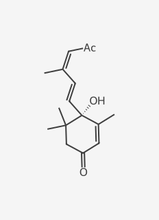 CC(=O)/C=C(C)\C=C\[C@@]1(O)C(C)=CC(=O)CC1(C)C